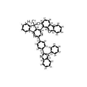 CC1(C)c2ccccc2-c2nc(-c3ccc(-c4nc5ccccc5n4-c4ccccc4)cc3)nc(-c3cccc4c3oc3ccccc34)c21